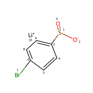 O=S([O-])c1ccc(Br)cc1.[Li+]